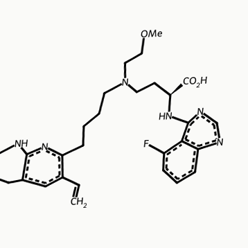 C=Cc1cc2c(nc1CCCCN(CCOC)CC[C@H](Nc1ncnc3cccc(F)c13)C(=O)O)NCCC2